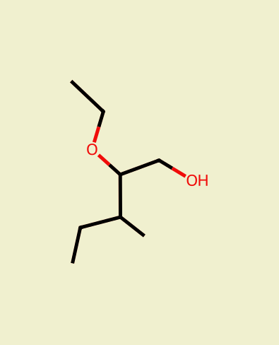 CCOC(CO)C(C)CC